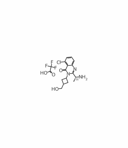 C[C@H](N)c1nc2cccc(Cl)c2c(=O)n1C1CC(CO)C1.O=C(O)C(F)(F)F